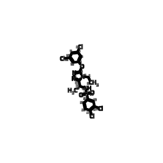 CCn1c(Oc2cc(Cl)cc(Cl)c2)nnc1[C@@H](C)NS(=O)(=O)c1ccc(Cl)c(Cl)c1